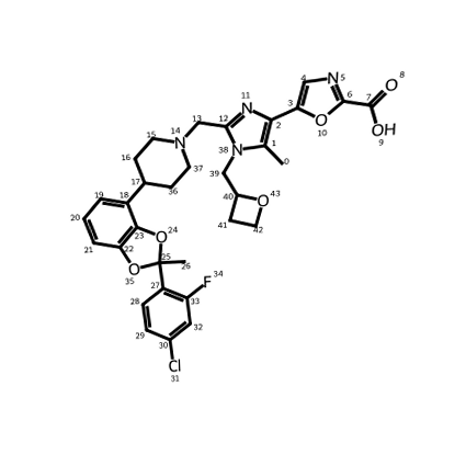 Cc1c(-c2cnc(C(=O)O)o2)nc(CN2CCC(c3cccc4c3OC(C)(c3ccc(Cl)cc3F)O4)CC2)n1CC1CCO1